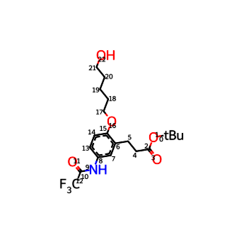 CC(C)(C)OC(=O)CCc1cc(NC(=O)C(F)(F)F)ccc1OCCCCCO